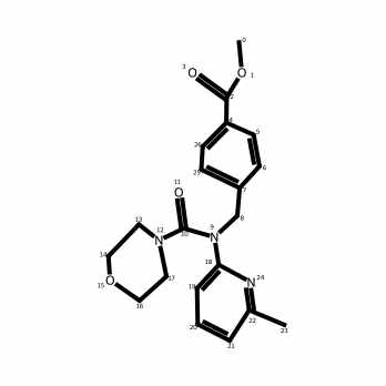 COC(=O)c1ccc(CN(C(=O)N2CCOCC2)c2cccc(C)n2)cc1